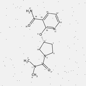 CN(C)C(=O)N1CC[C@@H](Oc2ncccc2C(N)=O)C1